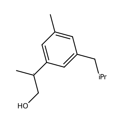 C[C](CO)c1cc(C)cc(CC(C)C)c1